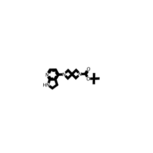 CC(C)(C)OC(=O)N1CC2(C1)CN(c1ccnc3c1CCN3)C2